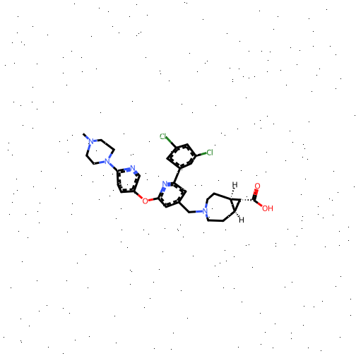 CN1CCN(c2ccc(Oc3cc(CN4CC[C@@H]5[C@H](CC4)[C@H]5C(=O)O)cc(-c4cc(Cl)cc(Cl)c4)n3)cn2)CC1